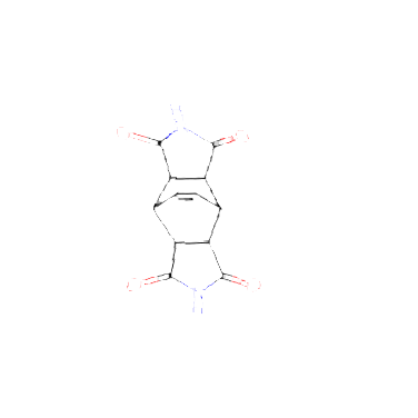 O=C1NC(=O)C2C3C=CC(C12)C1C(=O)NC(=O)C31